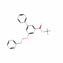 CC(C)(C)NC(=O)c1cc(OCCc2ccccc2)cc(-c2ccccc2)c1